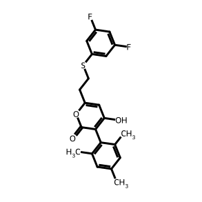 Cc1cc(C)c(-c2c(O)cc(CCSc3cc(F)cc(F)c3)oc2=O)c(C)c1